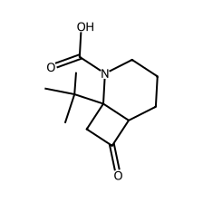 CC(C)(C)C12CC(=O)C1CCCN2C(=O)O